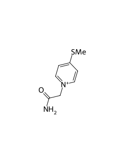 CSc1cc[n+](CC(N)=O)cc1